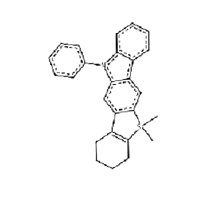 C[Si]1(C)C2=C(CCCC2)c2cc3c(cc21)c1ccccc1n3-c1ccccc1